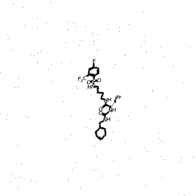 CC(C)C[C@H](NC(=O)NCC1CCCCC1)C(=O)NCCCCNS(=O)(=O)c1ccc(F)cc1C(F)(F)F